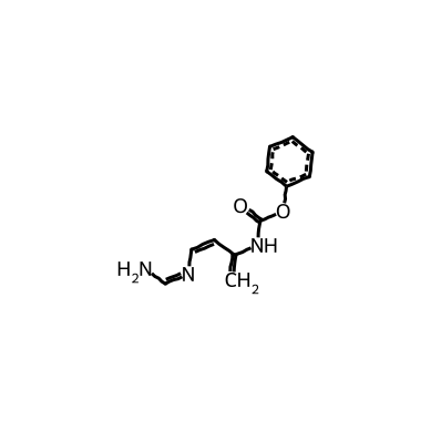 C=C(/C=C\N=C/N)NC(=O)Oc1ccccc1